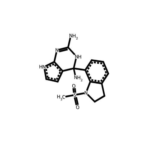 CS(=O)(=O)N1CCc2cccc(C3(N)NC(N)=Nc4[nH]ccc43)c21